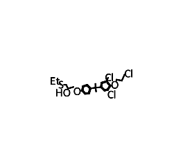 CCSCC(O)COc1ccc(C(C)(C)c2cc(Cl)c(OCCCCl)c(Cl)c2)cc1